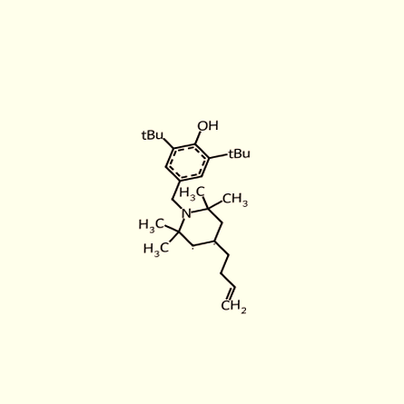 C=CCC[C]1[CH]C(C)(C)N(Cc2cc(C(C)(C)C)c(O)c(C(C)(C)C)c2)C(C)(C)C1